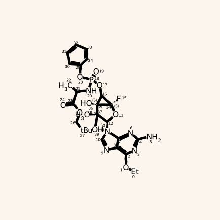 CCOc1nc(N)nc2c1ncn2[C@@H]1O[C@]2(F)C(OP(=O)(NC(C)C(=O)OCC(C)(C)C)Oc3ccccc3)[C@]2(O)[C@@]1(C)O